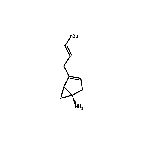 CCCC/C=C/CC1=CC[C@]2(N)CC12